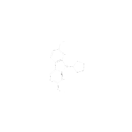 Nc1ncc2c3ccc(O)nc3n(C3CCCC3)c2n1